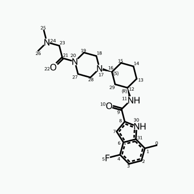 Cc1ccc(F)c2cc(C(=O)N[C@@H]3CCC[C@H](N4CCN(C(=O)CN(C)C)CC4)C3)[nH]c12